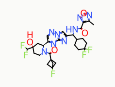 Cc1nonc1C(=O)N[C@H](c1cn2ncc([C@@H]3C[C@@](O)(C(F)F)CCN3C(=O)C34CC(F)(C3)C4)nc2n1)C1CCC(F)(F)CC1